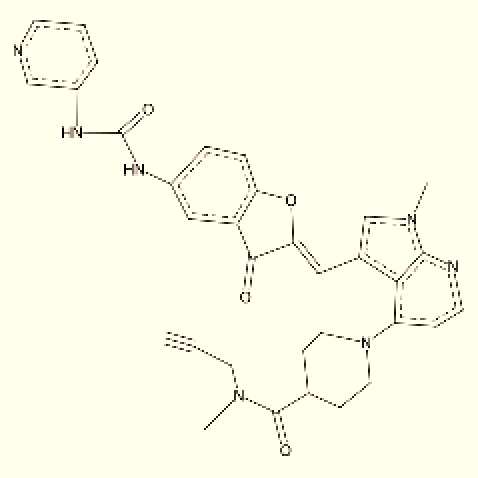 C#CCN(C)C(=O)C1CCN(c2ccnc3c2c(/C=C2\Oc4ccc(NC(=O)Nc5cccnc5)cc4C2=O)cn3C)CC1